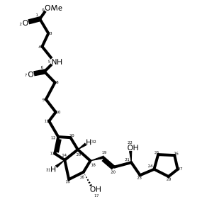 COC(=O)CCNC(=O)CCCCC1=C[C@H]2C[C@@H](O)[C@H](/C=C/[C@@H](O)CC3CCCC3)[C@H]2C1